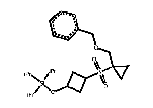 CC(C)[Si](OC1CC(S(=O)(=O)C2(COCc3ccccc3)CC2)C1)(C(C)C)C(C)C